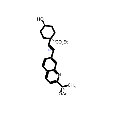 CCOC(=O)[C@]1(/C=C/c2ccc3ccc([C@@H](C)OC(C)=O)nc3c2)CC[C@@H](O)CC1